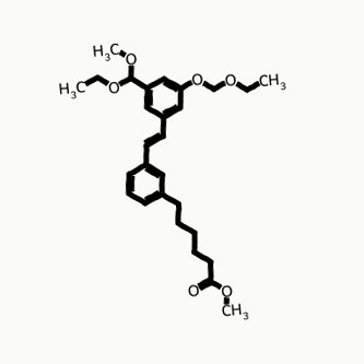 CCOCOc1cc(C=Cc2cccc(CCCCCC(=O)OC)c2)cc(C(OC)OCC)c1